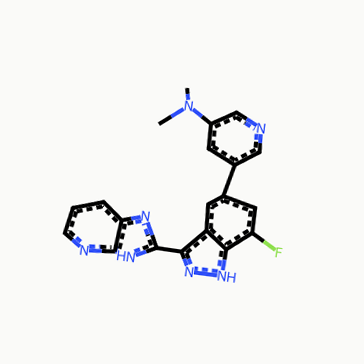 CN(C)c1cncc(-c2cc(F)c3[nH]nc(-c4nc5cccnc5[nH]4)c3c2)c1